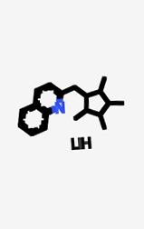 CC1C(C)C(C)C(Cc2ccc3ccccc3n2)C1C.[LiH]